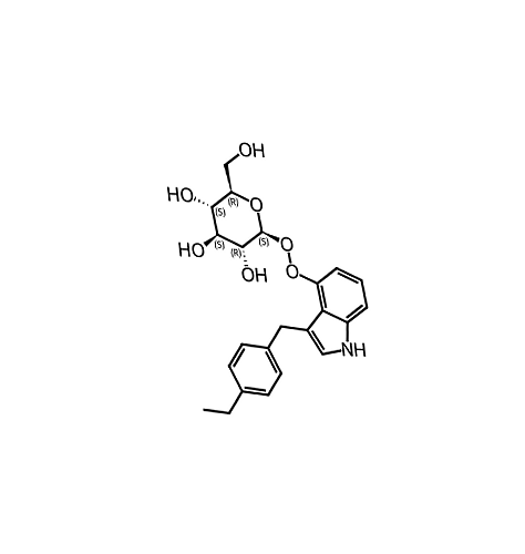 CCc1ccc(Cc2c[nH]c3cccc(OO[C@@H]4O[C@H](CO)[C@@H](O)[C@H](O)[C@H]4O)c23)cc1